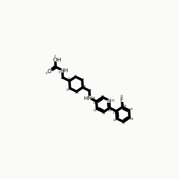 O=C(O)NCC1CCC(CNc2ccc(-c3ccccc3F)nc2)CC1